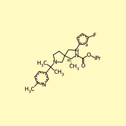 Cc1ccc(C(C)(C)N2CCC(CCc3ccc(F)s3)([C@@H](C)NC(=O)OC(C)C)C2)cn1